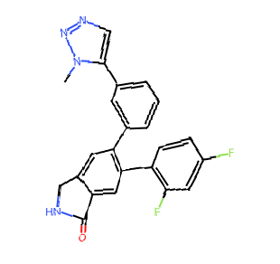 Cn1nncc1-c1cccc(-c2cc3c(cc2-c2ccc(F)cc2F)C(=O)NC3)c1